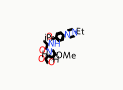 CCN1CCN(c2ccc(C(=O)NC(CC(C)C)C(=O)N3C[C@H](OC)[C@H]4OCC(=O)[C@H]43)cc2)CC1